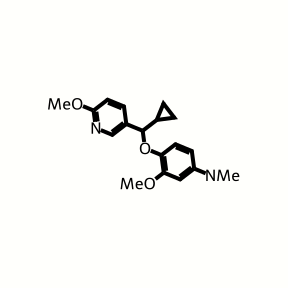 CNc1ccc(OC(c2ccc(OC)nc2)C2CC2)c(OC)c1